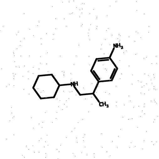 CC(CNC1CCCCC1)c1ccc(N)cc1